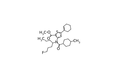 CCCC(CCCF)N(C(=O)C1CCC(C)CC1)c1cc(C2=CCCCC2)sc1C(=O)OC